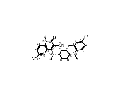 Cc1cc(F)ccc1N(C)[C@H]1CC[C@@H](N(C)c2c(C#N)c(=O)n(C)c3ccc(C#N)nc23)CC1